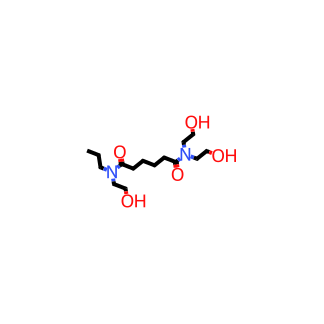 CCCN(CCO)C(=O)CCCCC(=O)N(CCO)CCO